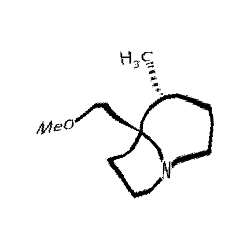 COC[C@]12CCN1CC[C@H]2C